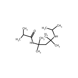 CC(C)NC(C)(C)CC(C)(C)NC(=O)C(C)C